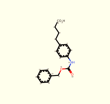 O=C(O)CCCc1ccc(NC(=O)OCc2ccccc2)cc1